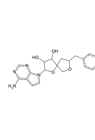 Nc1ncnc2c1ccn2C1OC2(COC(Cc3ccccc3)C2)C(O)C1O